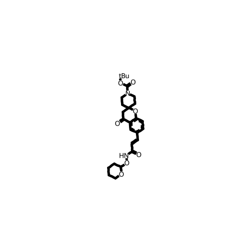 CC(C)(C)OC(=O)N1CCC2(CC1)CC(=O)c1cc(C=CC(=O)NOC3CCCCO3)ccc1O2